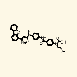 COCCN(C(=O)O)c1ccc(C(=O)Nc2ccc(Nc3cc(-c4cccc5c4oc4ccccc45)ncn3)cc2)cc1